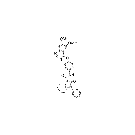 COc1cc2ncnc(Oc3ccc(NC(=O)c4c5n(n(-c6ccccc6)c4=O)CCCC5)cc3)c2cc1OC